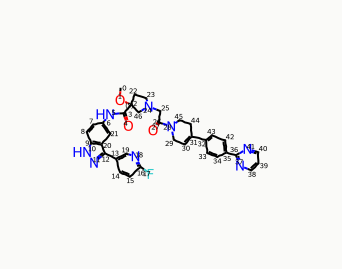 CO[C@@]1(C(=O)Nc2ccc3[nH]nc(-c4ccc(F)nc4)c3c2)CCN(CC(=O)N2CC=C(c3ccc(-c4ncccn4)cc3)CC2)C1